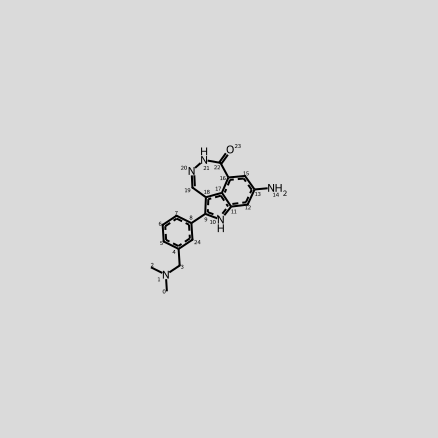 CN(C)Cc1cccc(-c2[nH]c3cc(N)cc4c3c2C=NNC4=O)c1